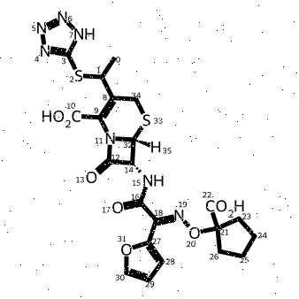 CC(Sc1nnn[nH]1)C1=C(C(=O)O)N2C(=O)[C@@H](NC(=O)C(=NOC3(C(=O)O)CCCC3)c3ccco3)[C@H]2SC1